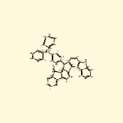 O=C1c2ccccc2-c2ccc3c(c21)C(c1ccc(N(c2ccccc2)c2ccccc2)cc1)c1ccc2oc4ccccc4c2c1-3